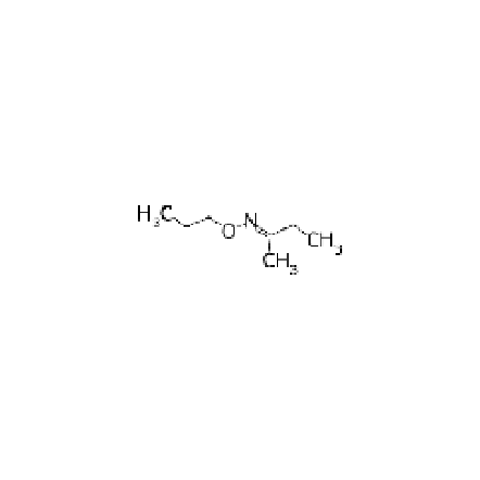 CCCO/N=C(\C)CC